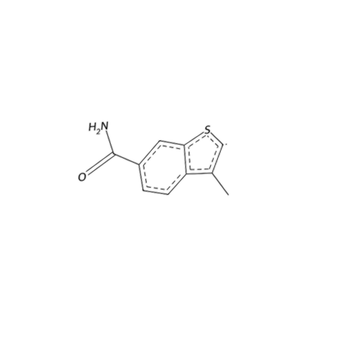 Cc1[c]sc2cc(C(N)=O)ccc12